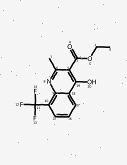 CCOC(=O)c1c(C)nc2c(C(F)(F)F)cccc2c1O